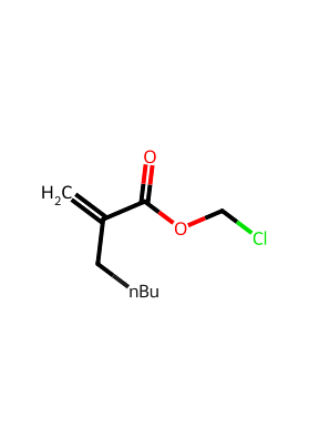 C=C(CCCCC)C(=O)OCCl